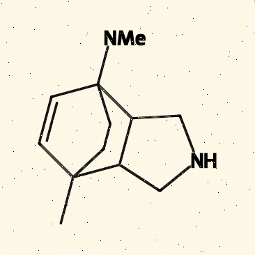 CNC12C=CC(C)(CC1)C1CNCC12